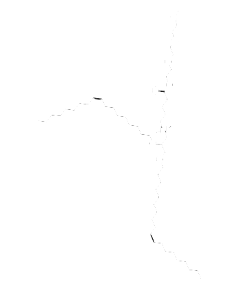 CCCCCCCC/C=C\CCCCCCCCCOCC(C[N+](C)(C)CCCCC(=O)OCCOCCOCCOC)OCCCCCCCC/C=C\CCCCCCCC